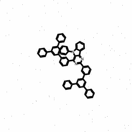 c1ccc(-c2cc(-c3ccccc3)cc(-c3cccc(-c4nc(-c5cccc(-c6cc(-c7ccccc7)cc(-c7ccccc7)c6)c5)c5c(n4)c4ccccc4n5-c4ccccc4)c3)c2)cc1